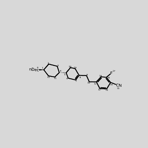 CCCCCCCCCC[C@H]1CC[C@H](C2CC=C(CCc3ccc(C#N)c(F)c3)CC2)CC1